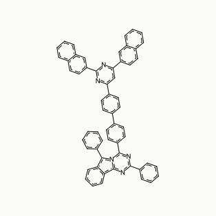 c1ccc(-c2nc(-c3ccc(-c4ccc(-c5cc(-c6ccc7ccccc7c6)nc(-c6ccc7ccccc7c6)n5)cc4)cc3)n3c(-c4ccccc4)c4ccccc4c3n2)cc1